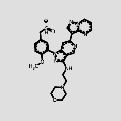 COc1ccc(C[SH](=O)=O)cc1-n1nc(NCCN2CCOCC2)c2cnc(-c3cnn4cccnc34)cc21